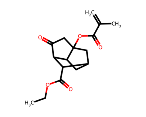 C=C(C)C(=O)OC12CC(=O)C3C(C(=O)OCC)C(CC31)C2